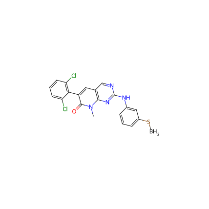 BSc1cccc(Nc2ncc3cc(-c4c(Cl)cccc4Cl)c(=O)n(C)c3n2)c1